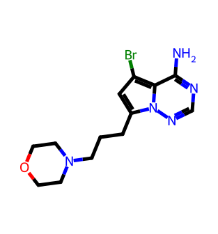 Nc1ncnn2c(CCCN3CCOCC3)cc(Br)c12